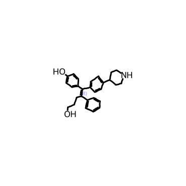 OCCC/C(=C(\c1ccc(O)cc1)c1ccc(C2CCNCC2)cc1)c1ccccc1